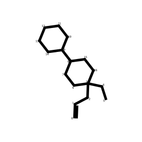 C=CCC1(CC)CCC(C2CCCCC2)CC1